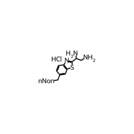 CCCCCCCCCCc1ccc2nc(C(N)CN)sc2c1.Cl